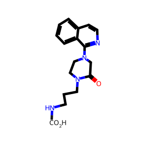 O=C(O)NCCCN1CCN(c2nccc3ccccc23)CC1=O